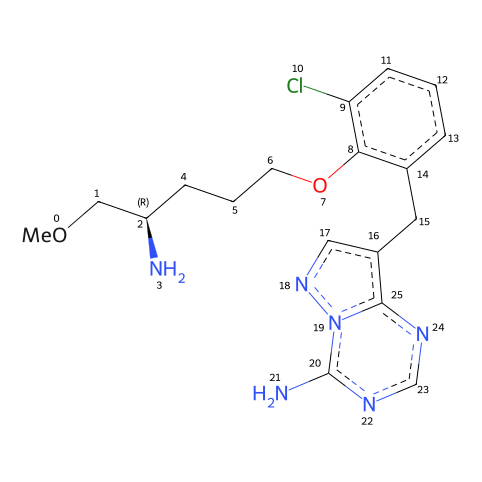 COC[C@H](N)CCCOc1c(Cl)cccc1Cc1cnn2c(N)ncnc12